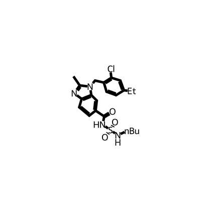 CCCCNS(=O)(=O)NC(=O)c1ccc2nc(C)n(Cc3ccc(CC)cc3Cl)c2c1